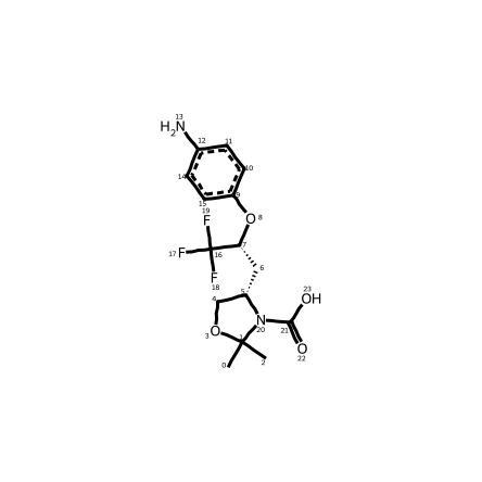 CC1(C)OC[C@H](C[C@@H](Oc2ccc(N)cc2)C(F)(F)F)N1C(=O)O